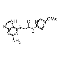 COc1ccc(NC(=O)CSc2nc(N)nc3nc[nH]c23)nc1